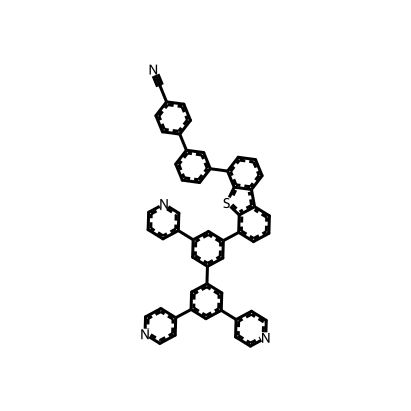 N#Cc1ccc(-c2cccc(-c3cccc4c3sc3c(-c5cc(-c6cccnc6)cc(-c6cc(-c7ccncc7)cc(-c7ccncc7)c6)c5)cccc34)c2)cc1